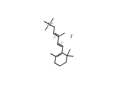 CC1=C(/C=C/C(C)=C/C[N+](C)(C)C)C(C)(C)CCC1.[I-]